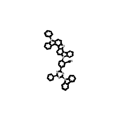 N#Cc1cc(-c2nc(-c3ccccc3)nc(-n3c4ccccc4c4ccccc43)n2)ccc1-n1c2ccccc2c2c3oc4ccc5c(c6ccccc6n5-c5ccccc5)c4c3ccc21